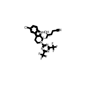 N#CCC[C@H](O)C[C@H]1c2[nH]c3ccc(Cl)cc3c2CCN1c1nc(C(F)(F)F)nc(C(F)(F)F)n1